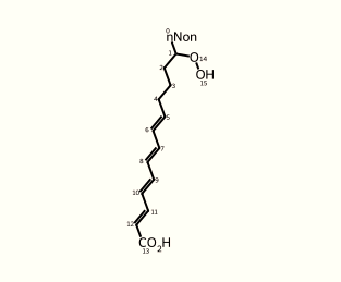 CCCCCCCCCC(CCCC=CC=CC=CC=CC(=O)O)OO